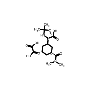 CN(C)C(=O)[C@H]1CCCC(N(NC(C)(C)C)C(=O)O)C1.O=C(O)C(=O)O